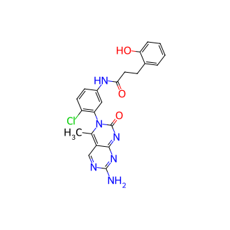 Cc1c2cnc(N)nc2nc(=O)n1-c1cc(NC(=O)CCc2ccccc2O)ccc1Cl